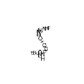 CC(C)(C)OC(=O)NC1CC(Oc2ccc(C(C)(C)c3ccc(Oc4ccc(CN5CC(F)C5)nn4)cc3)cc2)C1